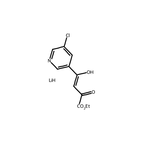 CCOC(=O)C(=O)C=C(O)c1cncc(Cl)c1.[LiH]